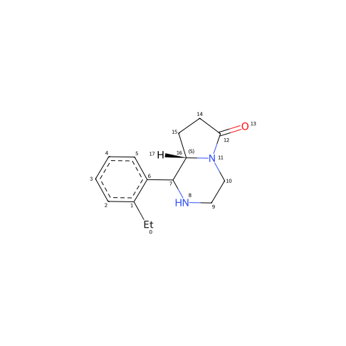 CCc1ccccc1C1NCCN2C(=O)CC[C@@H]12